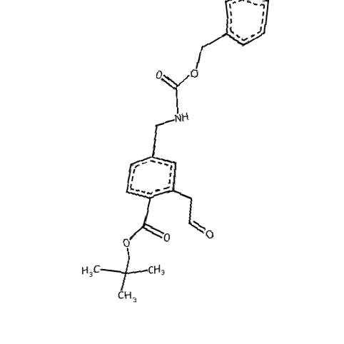 CC(C)(C)OC(=O)c1ccc(CNC(=O)OCc2ccccc2)cc1CC=O